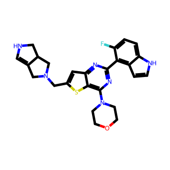 Fc1ccc2[nH]ccc2c1-c1nc(N2CCOCC2)c2sc(CN3CC4=CNCC4C3)cc2n1